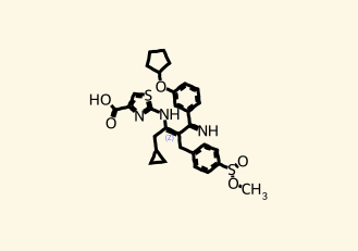 COS(=O)c1ccc(C/C(C(=N)c2cccc(OC3CCCC3)c2)=C(\CC2CC2)Nc2nc(C(=O)O)cs2)cc1